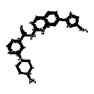 Cc1cnc(-c2ccc3cnc(NC(=O)c4ccnc(N5CCN(C)CC5)c4)nc3c2)s1